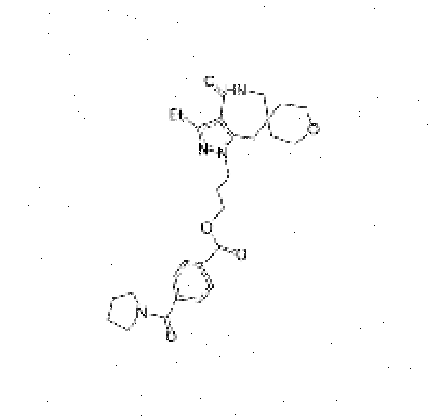 CCc1nn(CCCOC(=O)c2ccc(C(=O)N3CCCC3)cc2)c2c1C(=O)NCC1(CCOCC1)C2